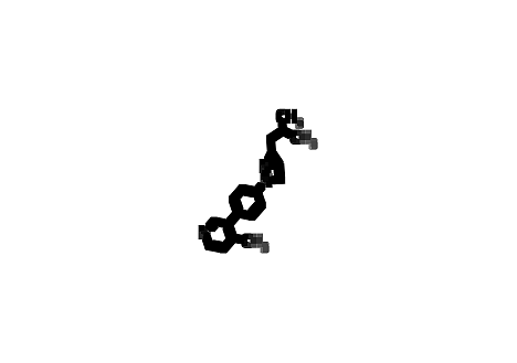 Cc1ccncc1-c1ccc(-n2cc3n2C3CC(C)C)cc1